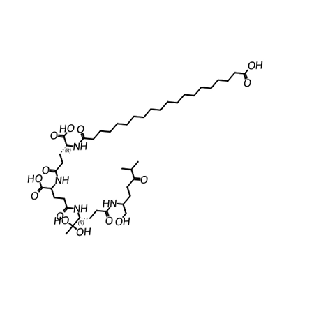 CC(C)C(=O)CCC(CO)NC(=O)CC[C@@H](NC(=O)CCC(NC(=O)CC[C@@H](NC(=O)CCCCCCCCCCCCCCCCCCC(=O)O)C(=O)O)C(=O)O)C(C)(O)O